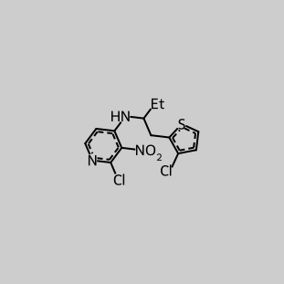 CCC(Cc1sccc1Cl)Nc1ccnc(Cl)c1[N+](=O)[O-]